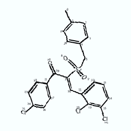 Cc1ccc(CS(=O)(=O)/C(=C\c2cccc(Cl)c2Cl)C(=O)c2ccc(Cl)cc2)cc1